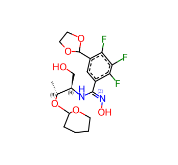 C[C@@H](OC1CCCCO1)[C@@H](CO)N/C(=N\O)c1cc(C2OCCO2)c(F)c(F)c1F